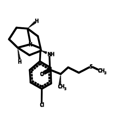 CSCC[C@H](C)C(=O)N[C@@H]1C[C@H]2CC[C@@H](C1)N2Cc1ccc(Cl)cc1